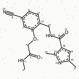 CNC(=O)COc1cc(C#N)ccc1CNC(=O)c1cc(C)nn1C